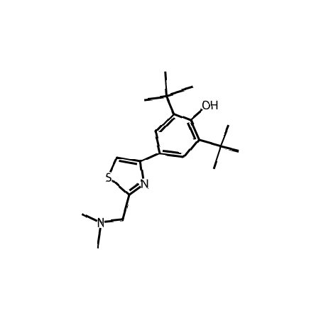 CN(C)Cc1nc(-c2cc(C(C)(C)C)c(O)c(C(C)(C)C)c2)cs1